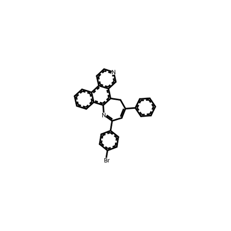 Brc1ccc(C2=Nc3c(c4cnccc4c4ccccc34)CC(c3ccccc3)=C2)cc1